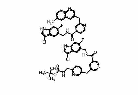 CC(C)(C)OC(=O)NCc1ccc(Cc2cncc(C(=O)NCc3cc4c(Cl)c[nH]c4cc3F)c2)cn1.Cc1ccc2ncc(Cc3cc(C(=O)NCc4cc5c(Cl)c[nH]c5cc4F)ccn3)cc2c1